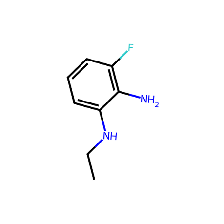 CCNc1cccc(F)c1N